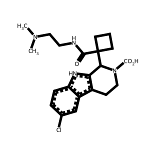 CN(C)CCNC(=O)C1(C2c3[nH]c4ccc(Cl)cc4c3CCN2C(=O)O)CCC1